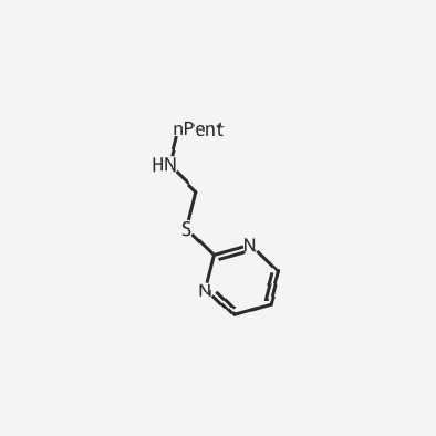 CCCCCNCSc1ncccn1